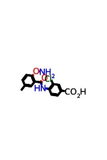 Cc1ccc(ON)c(C(=O)Nc2ccc(C(=O)O)cc2Cl)c1